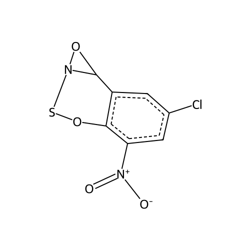 O=[N+]([O-])c1cc(Cl)cc2c1OSN1OC21